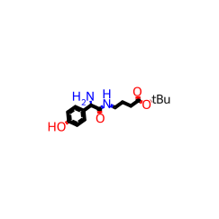 CC(C)(C)OC(=O)CCCNC(=O)[C@H](N)c1ccc(O)cc1